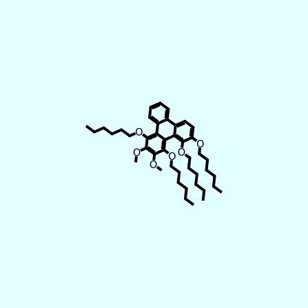 CCCCCCOc1ccc2c3ccccc3c3c(OCCCCCC)c(OC)c(OC)c(OCCCCCC)c3c2c1OCCCCCC